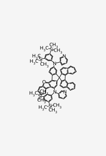 C[Si](C)(C)c1cc(N(c2cccnc2)c2ccc3c(c2)C2(c4ccc5ccccc5c4-c4c2ccc2ccccc42)c2cc(N(c4cccnc4)c4cc([Si](C)(C)C)cc([Si](C)(C)C)c4)c4c(oc5ccccc54)c2-3)cc([Si](C)(C)C)c1